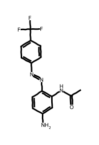 CC(=O)Nc1cc(N)ccc1N=Nc1ccc(C(F)(F)F)cc1